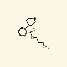 CCCCOC(=O)c1ccccc1C1CCNCC1